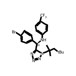 CC(C)(C)CC(C)(C)n1nnnc1[C@H](Nc1ccc(C(F)(F)F)cc1)c1ccc(Br)cc1